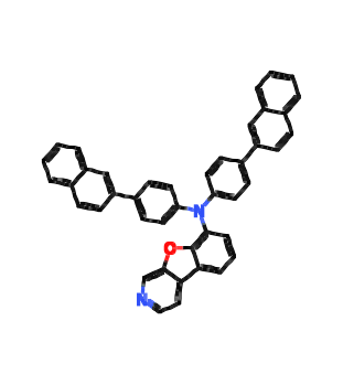 c1ccc2cc(-c3ccc(N(c4ccc(-c5ccc6ccccc6c5)cc4)c4cccc5c4oc4cnccc45)cc3)ccc2c1